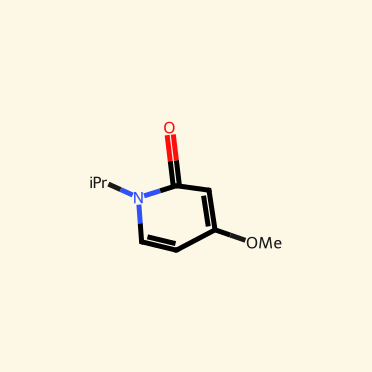 COc1ccn(C(C)C)c(=O)c1